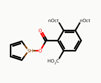 CCCCCCCCc1ccc(C(=O)O)c(C(=O)O[SH]2C=CC=C2)c1CCCCCCCC